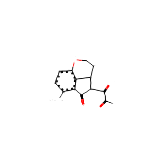 CCC(=O)C(=O)C1C(=O)c2c(OC)ccc3c2C1CCO3